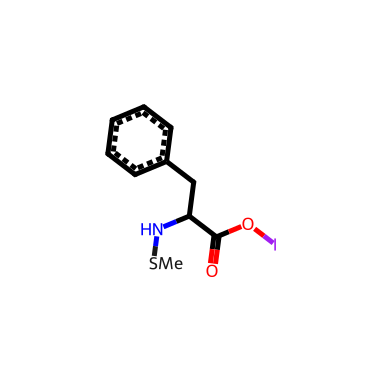 CSNC(Cc1ccccc1)C(=O)OI